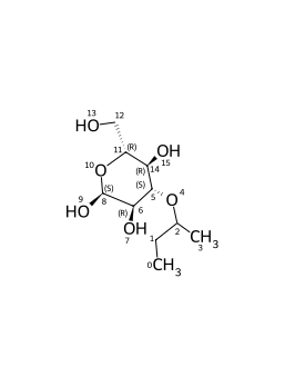 CCC(C)O[C@@H]1[C@@H](O)[C@@H](O)O[C@H](CO)[C@H]1O